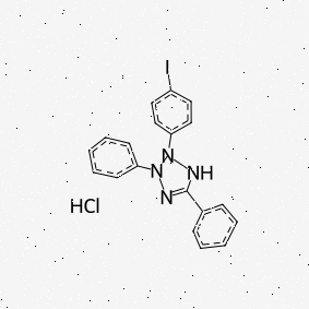 Cl.Ic1ccc(N2NC(c3ccccc3)=NN2c2ccccc2)cc1